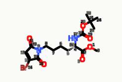 COC(=O)[C@H](CCCCN1C(=O)C=C(Br)C1=O)NC(=O)OC(C)(C)C